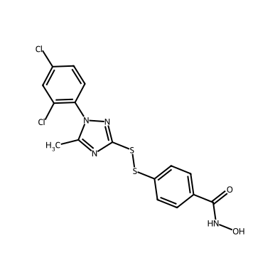 Cc1nc(SSc2ccc(C(=O)NO)cc2)nn1-c1ccc(Cl)cc1Cl